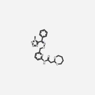 Cn1nnnc1/C(=N\OCc1cccc(NC(=O)CC2OCCCCO2)n1)c1ccccc1